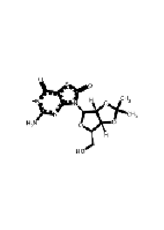 CC1(C)O[C@@H]2[C@H](O1)[C@@H](CO)O[C@H]2n1c(=O)sc2c(=O)[nH]c(N)nc21